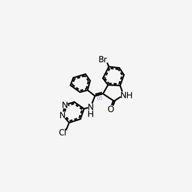 O=C1Nc2ccc(Br)cc2/C1=C(/Nc1cnnc(Cl)c1)c1ccccc1